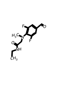 CCNC(=O)CN(C)c1c(F)cc(C=O)cc1F